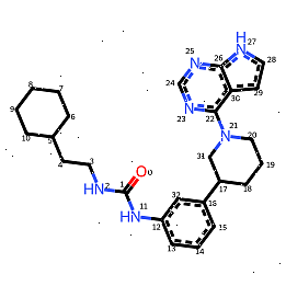 O=C(NCCC1CCCCC1)Nc1cccc(C2CCCN(c3ncnc4[nH]ccc34)C2)c1